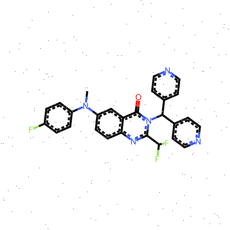 CN(c1ccc(F)cc1)c1ccc2nc(C(F)F)n(C(c3ccncc3)c3ccncc3)c(=O)c2c1